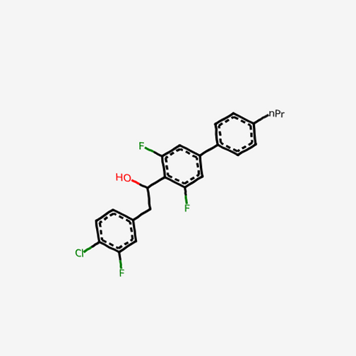 CCCc1ccc(-c2cc(F)c(C(O)Cc3ccc(Cl)c(F)c3)c(F)c2)cc1